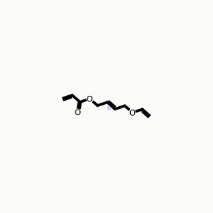 C=COC/C=C/COC(=O)C=C